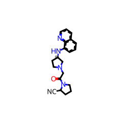 N#CC1CCCN1C(=O)CN1CC[C@@H](Nc2cccc3cccnc23)C1